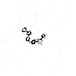 C[C@H](NC(=O)c1cnco1)c1ccc(OC2CCN(c3ccnc(N4CCOCC4)n3)C2)cc1